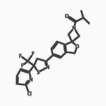 CC(C)C(=O)N1CC2(C1)OCc1cc(C3=NSC(c4cccc(Cl)n4)(C(F)(F)F)C3)ccc12